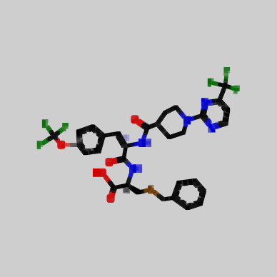 O=C(N[C@@H](CSCc1ccccc1)C(=O)O)/C(=C\c1ccc(OC(F)(F)F)cc1)NC(=O)C1CCN(c2nccc(C(F)(F)F)n2)CC1